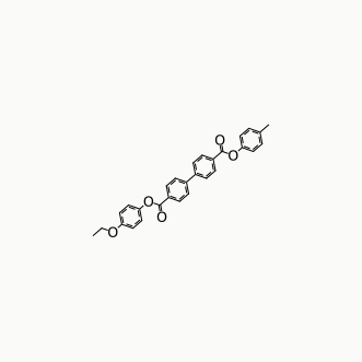 CCOc1ccc(OC(=O)c2ccc(-c3ccc(C(=O)Oc4ccc(C)cc4)cc3)cc2)cc1